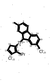 Cc1ccc2c(c1)[CH]([Zr+2][C]1=C(C(C)C)C=CC1)c1cc(C)ccc1-2.[Cl-].[Cl-]